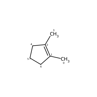 CC1=C(C)C[CH]C1